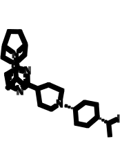 CC(C)N1CC2CCC(C1)N2c1ccnc(C2CCN([C@H]3CC[C@@H](C(C)I)CC3)CC2)n1